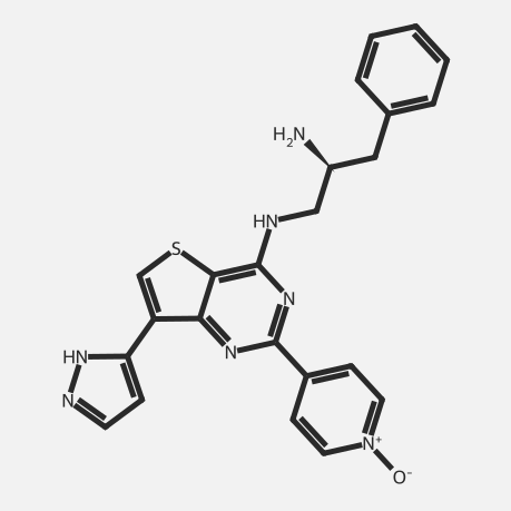 N[C@H](CNc1nc(-c2cc[n+]([O-])cc2)nc2c(-c3ccn[nH]3)csc12)Cc1ccccc1